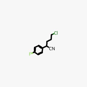 N#CC(CCCCl)c1ccc(F)cc1